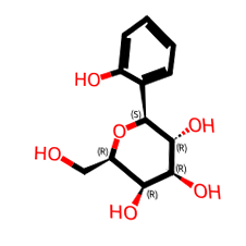 OC[C@H]1O[C@@H](c2ccccc2O)[C@H](O)[C@@H](O)[C@H]1O